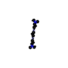 Cc1cccc(N(c2ccccc2)c2ccc3c(c2)C(C)(C)c2cc(/C=C/c4ccc5c(c4)C(C)(C)c4cc(/C=C/c6ccc7c(c6)C(C)(C)c6cc(N(c8ccccc8)c8cccc(C)c8)ccc6-7)ccc4-5)ccc2-3)c1